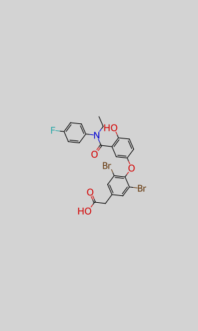 CCN(C(=O)c1cc(Oc2c(Br)cc(CC(=O)O)cc2Br)ccc1O)c1ccc(F)cc1